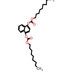 CCCCCCCCCOC(=O)Oc1ccc(OC(=O)OCCCCCCCCC)c2ccccc12